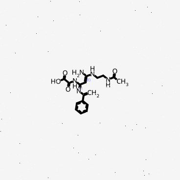 C=C(/N=C(\C=C(/N)NCCNC(C)=O)NC(=O)C(=O)O)c1ccccc1